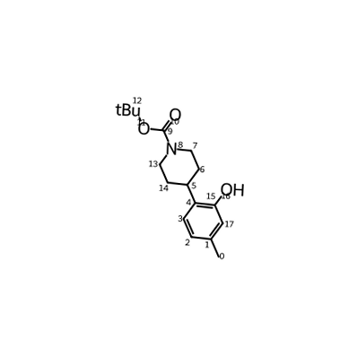 Cc1ccc(C2CCN(C(=O)OC(C)(C)C)CC2)c(O)c1